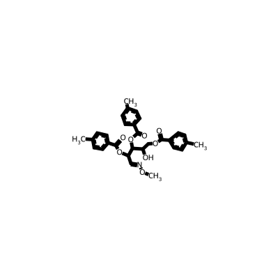 CON=CC(OC(=O)c1ccc(C)cc1)C(OC(=O)c1ccc(C)cc1)C(O)COC(=O)c1ccc(C)cc1